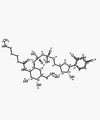 CNCCCCC(=O)NC1[C@@H](OP(=O)(O)OP(=O)(O)OCC2OC(n3ccc(=O)[nH]c3=O)[C@H](O)[C@@H]2O)OC(CO)[C@H](O)[C@@H]1O